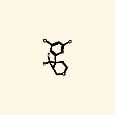 FC1(F)C2COCCC21c1cc(Cl)cc(Cl)n1